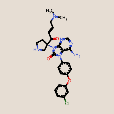 CN(C)C/C=C/C(=O)[C@@]1(n2c(=O)n(-c3ccc(Oc4cccc(Cl)c4)cc3)c3c(N)ncnc32)CCNC1